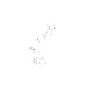 Cc1ccc(N2CCN(CCNC3CCc4[nH]c5ccccc5c4C3)CC2)cc1Cl